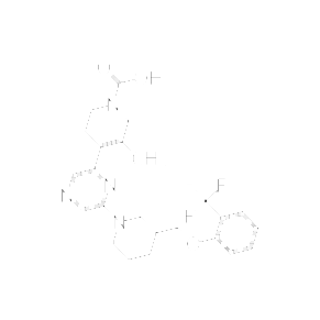 CC1=C(c2cncc(N3CCCC(COc4ccccc4C(F)(F)F)C3)n2)CCN(C(=O)O)C1